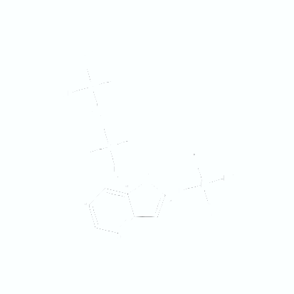 F[B-](F)(F)F.F[B-](F)(F)F.F[B-](F)(F)F.c1ccc2occc2c1